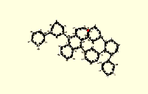 c1ccc(-c2cccc(-c3ccccc3)c2-c2cccc(-c3c4ccccc4c(-c4cccc(-c5cccnc5)c4)c4ccccc34)c2)cc1